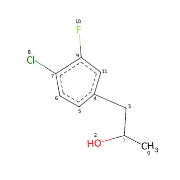 CC(O)Cc1ccc(Cl)c(F)c1